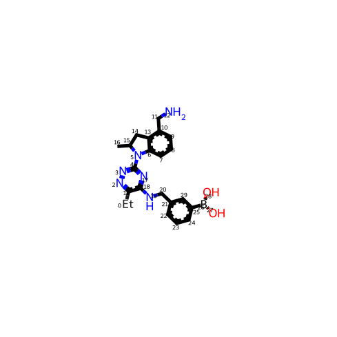 CCc1nnc(N2c3cccc(CN)c3CC2C)nc1NCc1cccc(B(O)O)c1